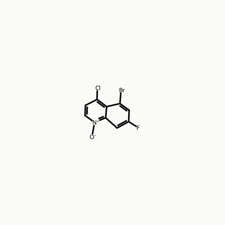 [O-][n+]1ccc(Cl)c2c(Br)cc(F)cc21